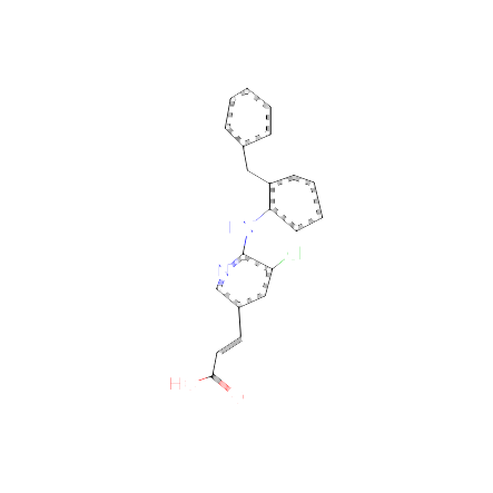 O=C(O)C=Cc1cnc(Nc2ccccc2Cc2ccccc2)c(Cl)c1